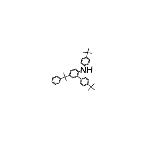 CC(C)(C)c1ccc(Nc2ccc(C(C)(C)c3ccccc3)cc2-c2ccc(C(C)(C)C)cc2)cc1